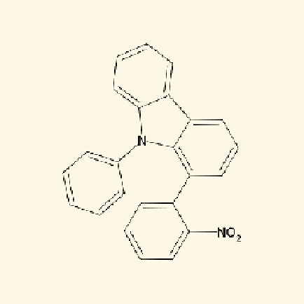 O=[N+]([O-])c1ccccc1-c1cccc2c3ccccc3n(-c3ccccc3)c12